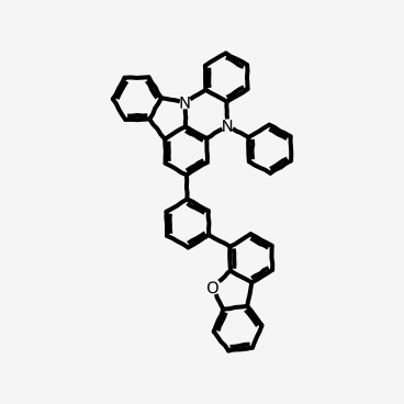 c1ccc(N2c3ccccc3-n3c4ccccc4c4cc(-c5cccc(-c6cccc7c6oc6ccccc67)c5)cc2c43)cc1